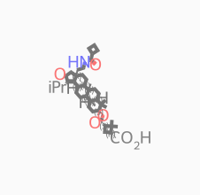 CC(C)C1=C2[C@H]3CC[C@@H]4[C@@]5(C)CC[C@H](OC(=O)[C@H]6C[C@@H](C(=O)O)C6(C)C)C(C)(C)[C@@H]5CC[C@@]4(C)[C@]3(C)CC[C@@]2(CCNC(=O)C2CCC2)CC1=O